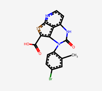 Cc1cc(Br)ccc1N1C(=O)Nc2ccnc3sc(C(=O)O)c1c23